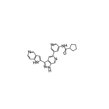 O=C(Nc1cncc(-c2cc3c(-c4cc5cnccc5[nH]4)n[nH]c3cn2)c1)C1CCCC1